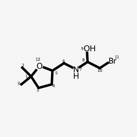 CC1(C)CCC(CNC(O)CBr)O1